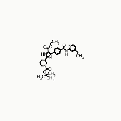 CCOC(=O)c1[nH]c(C2CCCN(C(=O)OC(C)(C)C)C2)nc1-c1ccc(C(=O)Nc2cc(CC)ccn2)cc1